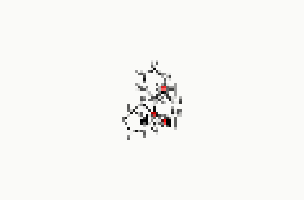 C#CC1(O)CC2CCC(C1)N2c1cccc2ccccc12